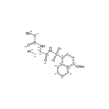 COc1ccc(S(=O)(=O)NC(=O)[C@H](CC(C)C)NC(=O)OC(C)(C)C)c2ccccc12